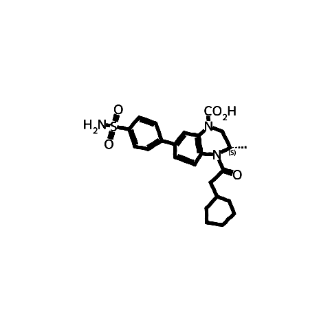 C[C@H]1CN(C(=O)O)c2cc(-c3ccc(S(N)(=O)=O)cc3)ccc2N1C(=O)CC1CCCCC1